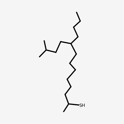 CCCCC(CCCCCCC(C)S)CCC(C)C